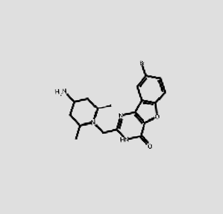 CC1CC(N)C[C@@H](C)N1Cc1nc2c(oc3ccc(Br)cc32)c(=O)[nH]1